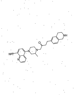 CC1CN(c2ccc(C#N)c3ncccc23)CCN1CC(=O)CCc1ccc2c(c1)CCNC2